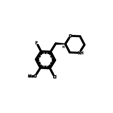 COc1cc(F)c(C[C@@H]2CNCCO2)cc1Cl